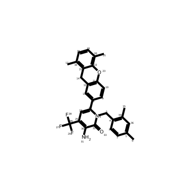 Cc1ccc(Cn2c(-c3ccc4c(c3)Cc3c(C)ccc(C)c3O4)cc(C(F)(F)F)c(N)c2=O)c(C)c1